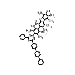 Bc1c(B)c(-c2c(B)c(B)c3c(oc4c(B)c(B)c(B)c(B)c43)c2B)c(B)c(B)c1-c1nc(-c2ccccc2)nc(-c2ccc(-c3ccc(-c4ccccc4)cc3)cc2)n1